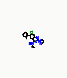 Cc1ccccc1-c1cc2c(NC3CC3)nc(-n3cccn3)nc2cc1Cl